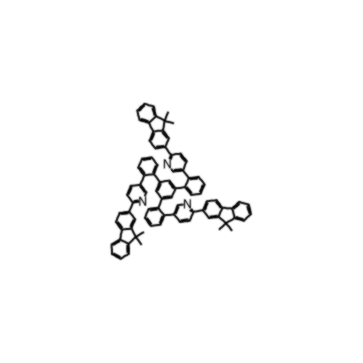 CC1(C)c2ccccc2-c2ccc(-c3ccc(-c4ccccc4-c4cc(-c5ccccc5-c5ccc(-c6ccc7c(c6)C(C)(C)c6ccccc6-7)nc5)cc(-c5ccccc5-c5ccc(-c6ccc7c(c6)C(C)(C)c6ccccc6-7)nc5)c4)cn3)cc21